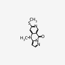 CSc1cc2c(cn1)c(=O)n1nccc1n2C